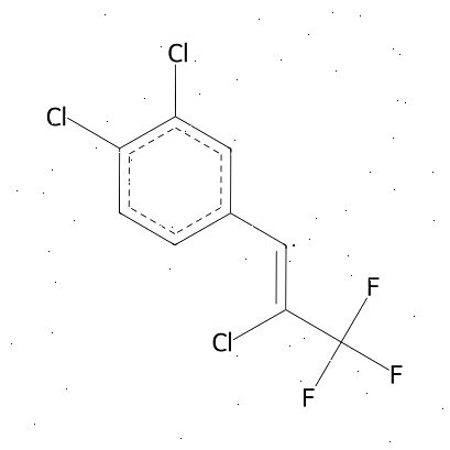 FC(F)(F)C(Cl)=[C]c1ccc(Cl)c(Cl)c1